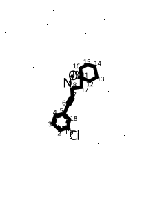 Clc1cccc(C#CC2=NOC3(CCCCC3)C2)c1